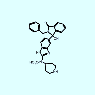 O=C(O)N(c1nc2cc(C3(O)c4ccccc4C(=O)N3Cc3ccccc3)ccc2[nH]1)C1CCNCC1